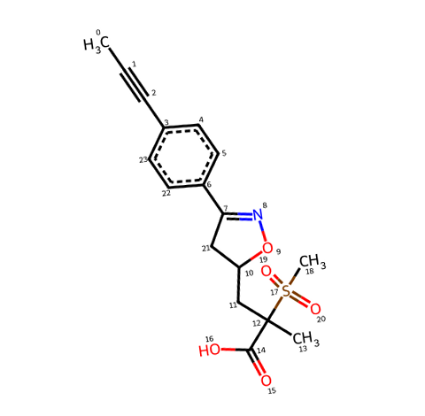 CC#Cc1ccc(C2=NOC(CC(C)(C(=O)O)S(C)(=O)=O)C2)cc1